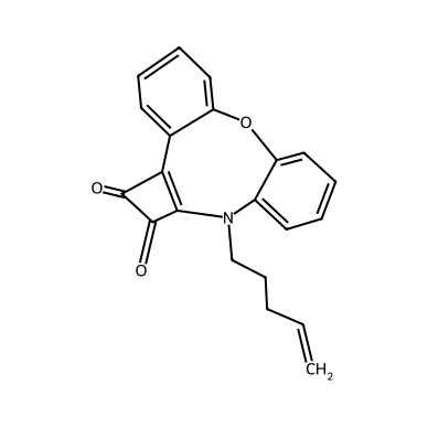 C=CCCCn1c2ccccc2oc2ccccc2c2c(=O)c(=O)c21